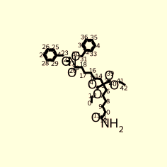 CCOC(=O)C(CCCCCC(N)=O)(CCCCCC(=O)N(OCc1ccccc1)OCc1ccccc1)C(=O)OCC